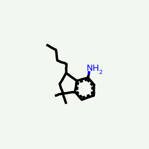 CCCCC1CC(C)(C)c2cccc(N)c21